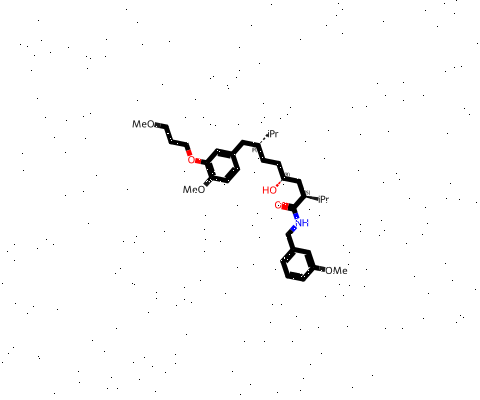 COCCCOc1cc(C[C@@H](CC[C@@H](O)C[C@H](C(=O)NCc2cccc(OC)c2)C(C)C)C(C)C)ccc1OC